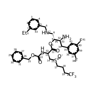 CCc1cccc(CNC[C@@H](OC(=O)[C@@H](C[S+]([O-])CCCC(F)(F)F)NC(=O)OCc2ccccc2)[C@@H](N)Cc2cc(F)cc(F)c2)c1